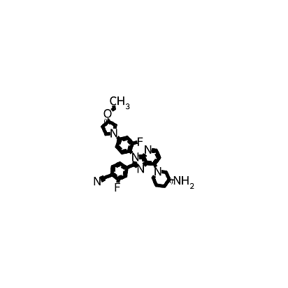 CCO[C@H]1CCN(c2ccc(-n3c(-c4ccc(C#N)c(F)c4)nc4c(N5CCC[C@@H](N)C5)ccnc43)c(F)c2)C1